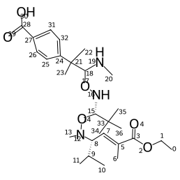 CCOC(=O)/C(C)=C/[C@H](C(C)C)N(C)O[C@H](NOC(NC)C(C)(C)c1ccc(C(=O)O)cc1)C(C)(C)C